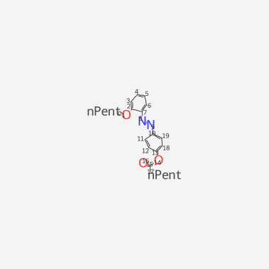 CCCCCOc1ccccc1N=Nc1ccc(OC(=O)CCCCC)cc1